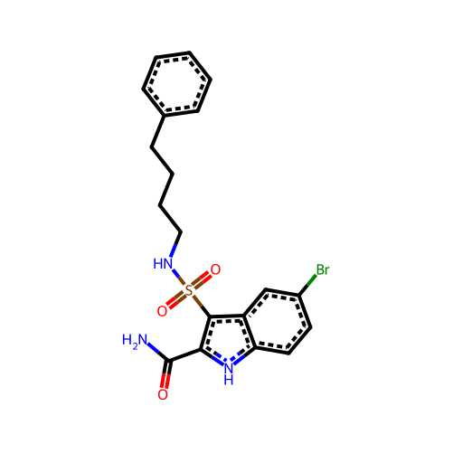 NC(=O)c1[nH]c2ccc(Br)cc2c1S(=O)(=O)NCCCCc1ccccc1